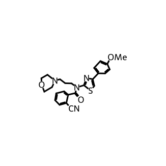 COc1ccc(-c2csc(N(CCCN3CCOCC3)C(=O)c3ccccc3C#N)n2)cc1